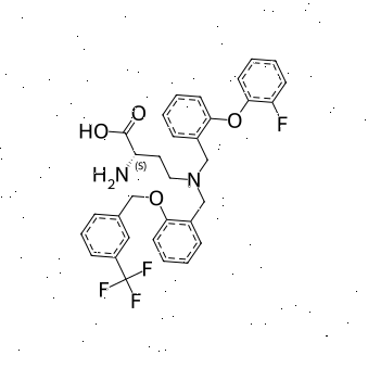 N[C@@H](CCN(Cc1ccccc1OCc1cccc(C(F)(F)F)c1)Cc1ccccc1Oc1ccccc1F)C(=O)O